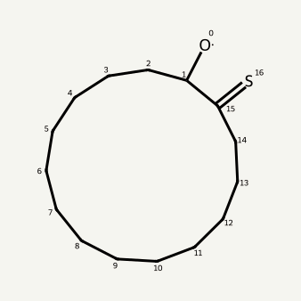 [O]C1CCCCCCCCCCCCCC1=S